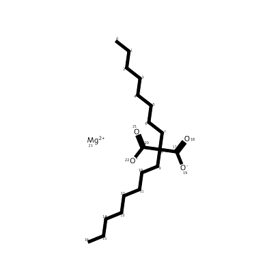 CCCCCCCCC(CCCCCCCC)(C(=O)[O-])C(=O)[O-].[Mg+2]